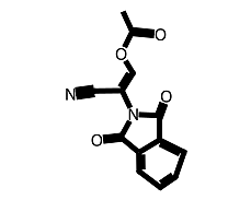 CC(=O)O/C=C(\C#N)N1C(=O)c2ccccc2C1=O